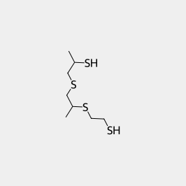 CC(S)CSCC(C)SCCS